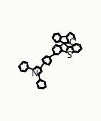 c1ccc(-c2cc(-c3ccc(-c4ccc5c(c4)-c4sc6ccccc6c4C54c5ccccc5-c5ccccc54)cc3)cc(-c3ccccc3)n2)cc1